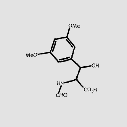 COc1cc(OC)cc(C(O)C(NC=O)C(=O)O)c1